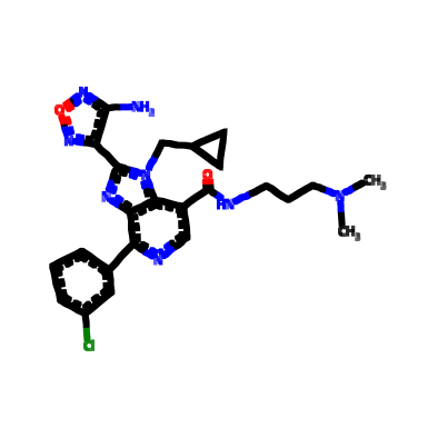 CN(C)CCCNC(=O)c1cnc(-c2cccc(Cl)c2)c2nc(-c3nonc3N)n(CC3CC3)c12